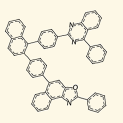 c1ccc(-c2nc3c(cc(-c4ccc(-c5ccc6ccccc6c5-c5ccc(-c6nc(-c7ccccc7)c7ccccc7n6)cc5)cc4)c4ccccc43)o2)cc1